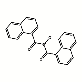 O=C(c1cccc2ccccc12)[S+]([O-])C(=O)c1cccc2ccccc12